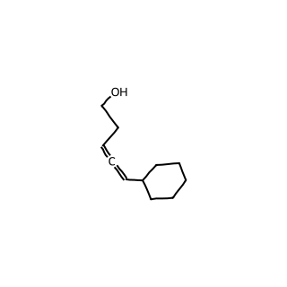 OCCC=C=CC1CCCCC1